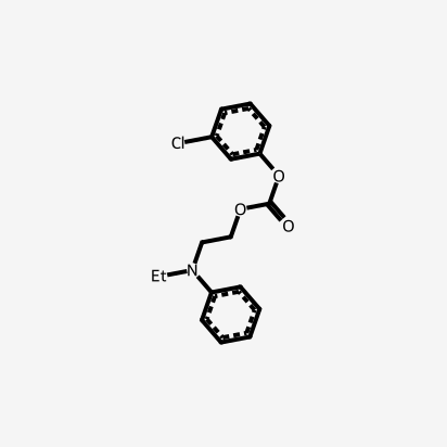 CCN(CCOC(=O)Oc1cccc(Cl)c1)c1ccccc1